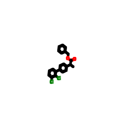 CC(C(=O)OCc1ccccc1)c1ccc(-c2cccc(Cl)c2Cl)cc1